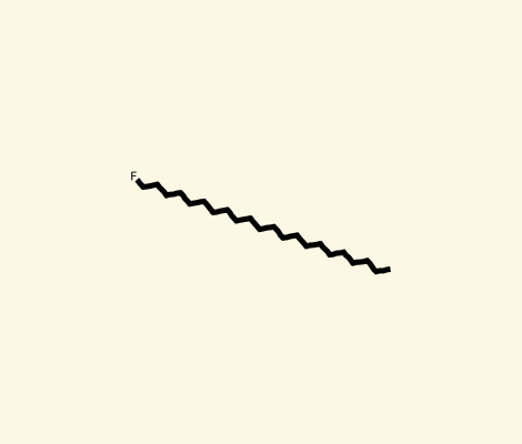 CCCCCCCCCCCCCCCCCCCCCCF